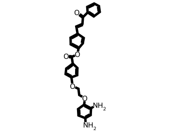 Nc1ccc(OCCOc2ccc(C(=O)Oc3ccc(C=CC(=O)c4ccccc4)cc3)cc2)c(N)c1